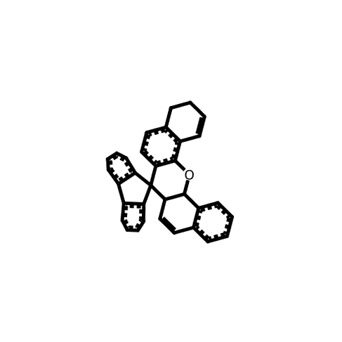 C1=Cc2c(ccc3c2OC2c4ccccc4C=CC2C32c3ccccc3-c3ccccc32)CC1